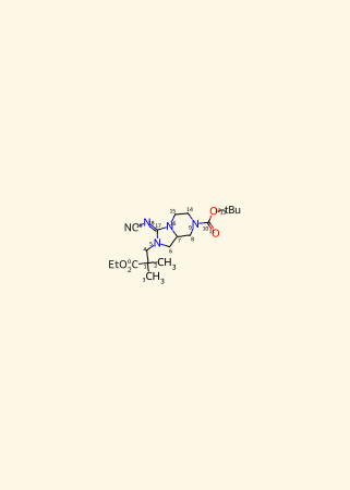 CCOC(=O)C(C)(C)CN1CC2CN(C(=O)OC(C)(C)C)CCN2C1=NC#N